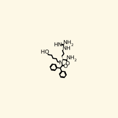 N=C(N)NCCC[C@H](C(N)=O)N(CCCCCO)C(=O)C(c1ccccc1)c1ccccc1